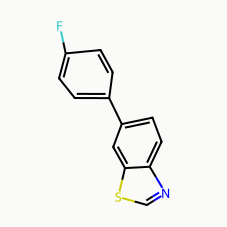 Fc1ccc(-c2ccc3ncsc3c2)cc1